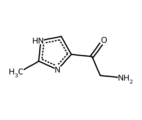 Cc1nc(C(=O)CN)c[nH]1